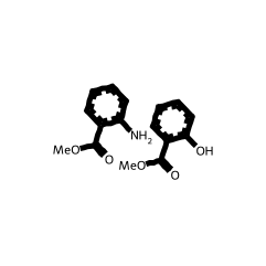 COC(=O)c1ccccc1N.COC(=O)c1ccccc1O